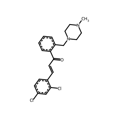 CN1CCN(Cc2ccccc2C(=O)C=Cc2ccc(Cl)cc2Cl)CC1